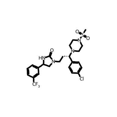 CS(=O)(=O)N1CCN([C@@H](CCN2CC(c3cccc(C(F)(F)F)c3)NC2=O)c2ccc(Cl)cc2)CC1